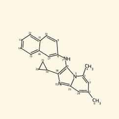 Cc1cc(C)n2c(Nc3ccc4ccccc4c3)c(C3CC3)nc2c1